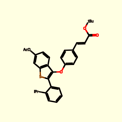 CC(=O)Oc1ccc2c(Oc3ccc(C=CC(=O)OC(C)(C)C)cc3)c(-c3ccccc3C(C)C)sc2c1